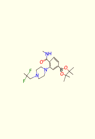 CNC(=O)c1ccc(B2OC(C)(C)C(C)(C)O2)cc1N1CCN(CC(C)(F)F)CC1